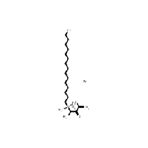 C=C(C)C(=O)C(C)[N+](C)(C)CCCCCCCCCCCCCCCC.[Br-]